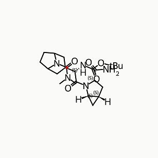 CN(C)C(=O)N1C2CCC1CC([C@H](NC(=O)OC(C)(C)C)C(=O)N1[C@H](C(N)=O)C[C@@H]3C[C@@H]31)C2